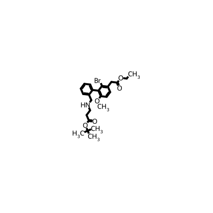 CCOC(=O)Cc1ccc(OC)c(-c2ccccc2CNCCC(=O)OC(C)(C)C)c1Br